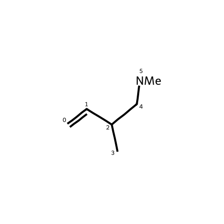 C=CC(C)CNC